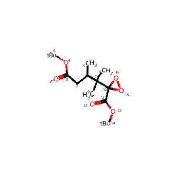 CC(CC(=O)OC(C)(C)C)C(C)(C)C1(C(=O)OC(C)(C)C)OO1